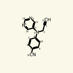 C#CCN(c1ccc(C#N)cc1)c1cncnc1